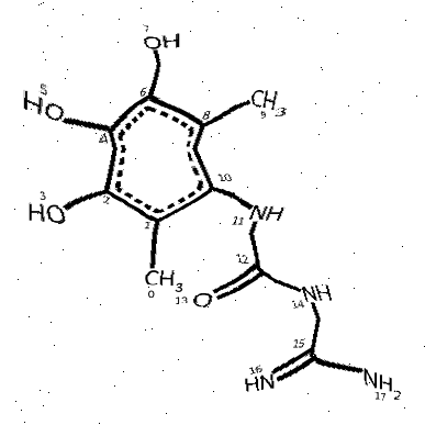 Cc1c(O)c(O)c(O)c(C)c1NC(=O)NC(=N)N